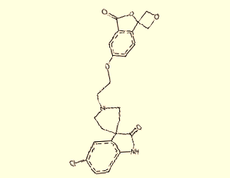 O=C1OC2(COC2)c2ccc(OCCN3CCC4(CC3)C(=O)Nc3ccc(Cl)cc34)cc21